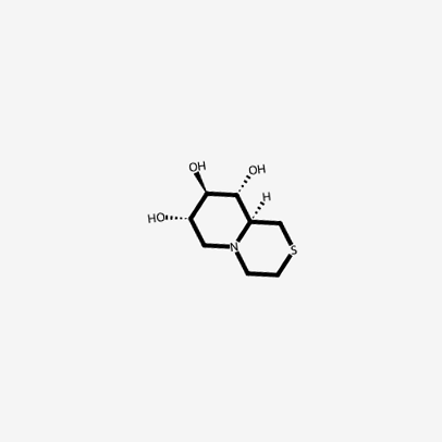 O[C@H]1[C@H](O)[C@@H](O)CN2CCSC[C@H]12